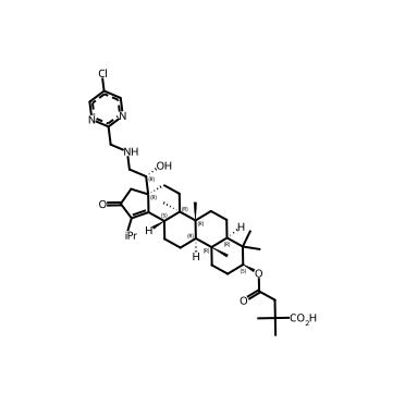 CC(C)C1=C2[C@H]3CC[C@@H]4[C@@]5(C)CC[C@H](OC(=O)CC(C)(C)C(=O)O)C(C)(C)[C@@H]5CC[C@@]4(C)[C@]3(C)CC[C@@]2([C@@H](O)CNCc2ncc(Cl)cn2)CC1=O